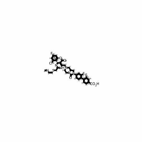 C=N/C=C\SCC1=N[C@@H](c2ccc(F)cc2Cl)C(C(=O)OC)=C(CN2CCN3C(=O)N(c4ccc(-c5ccc(C(=O)O)cc5F)c(F)c4)CC3C2)N1